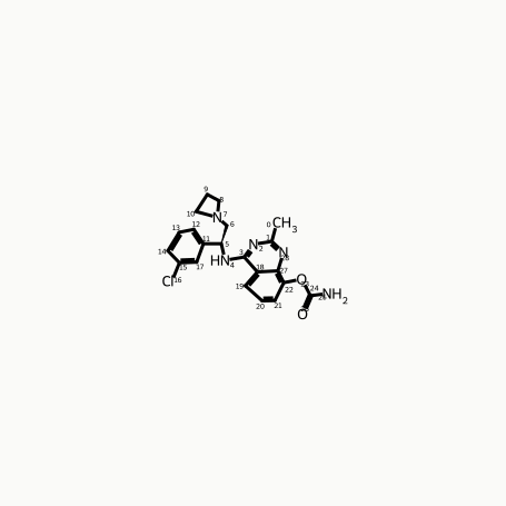 Cc1nc(N[C@H](CN2CCC2)c2cccc(Cl)c2)c2cccc(OC(N)=O)c2n1